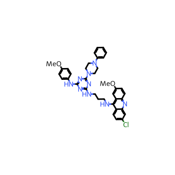 COc1ccc(Nc2nc(NCCCNc3c4ccc(Cl)cc4nc4ccc(OC)cc34)nc(N3CCN(c4ccccc4)CC3)n2)cc1